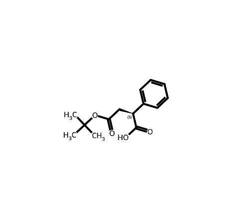 CC(C)(C)OC(=O)C[C@H](C(=O)O)c1ccccc1